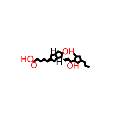 CCCC1CC(C)C([C@@H](O)/C=C/[C@@H]2[C@H]3C/C(=C/CCCC(=O)O)C[C@@H]3C[C@H]2O)C1